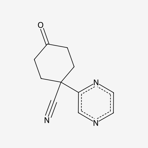 N#CC1(c2cnccn2)CCC(=O)CC1